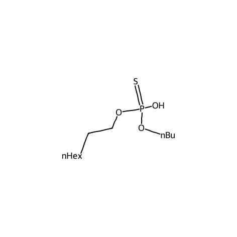 CCCCCCCCOP(O)(=S)OCCCC